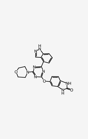 O=c1[nH]c2ccc(Oc3nc(-c4cccc5[nH]ncc45)nc(N4CCOCC4)n3)cc2[nH]1